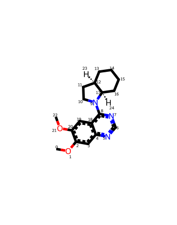 COc1cc2ncnc(N3CC[C@H]4CCCC[C@H]43)c2cc1OC